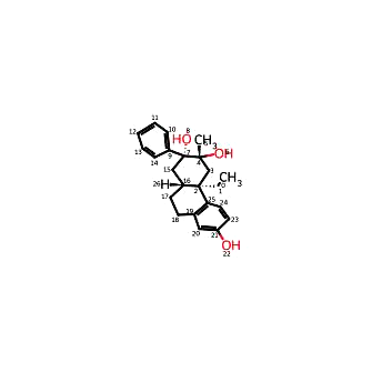 CC[C@@]12C[C@@](C)(O)[C@](O)(c3ccccc3)C[C@H]1CCc1cc(O)ccc12